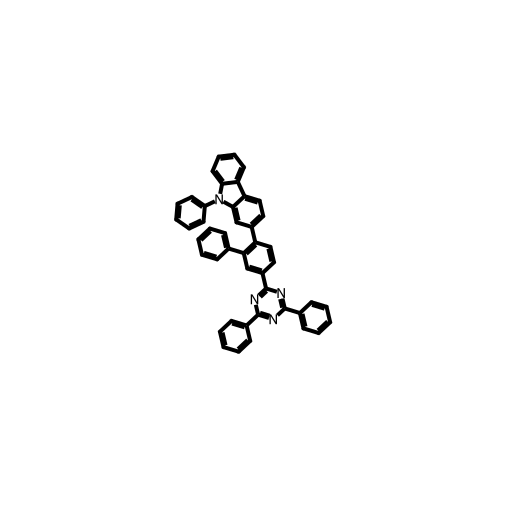 c1ccc(-c2nc(-c3ccccc3)nc(-c3ccc(-c4ccc5c6ccccc6n(-c6ccccc6)c5c4)c(-c4ccccc4)c3)n2)cc1